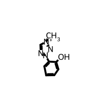 C[n+]1cnn(-c2ccccc2O)n1